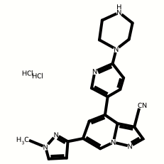 Cl.Cl.Cn1ccc(-c2cc(-c3ccc(N4CCNCC4)nc3)c3c(C#N)cnn3c2)n1